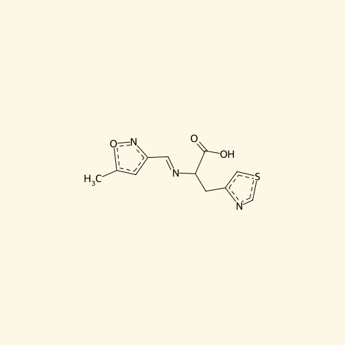 Cc1cc(C=NC(Cc2cscn2)C(=O)O)no1